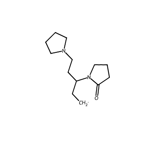 [CH2]CC(CCN1CCCC1)N1CCCC1=O